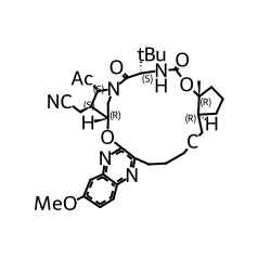 COc1ccc2nc3c(nc2c1)O[C@H]1CN(C(=O)[C@H](C(C)(C)C)NC(=O)O[C@]2(C)CCC[C@H]2CCCCC3)[C@H](C(C)=O)[C@@H]1CC#N